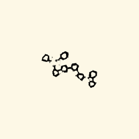 c1ccc(-c2nc(-c3ccccc3)nc(-c3cccc4sc5cc(-c6cccc7c6sc6ccc(-n8c9ccccc9c9ccccc98)cc67)ccc5c34)n2)cc1